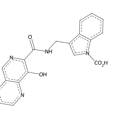 O=C(NCc1cn(C(=O)O)c2ccccc12)c1ncc2cccnc2c1O